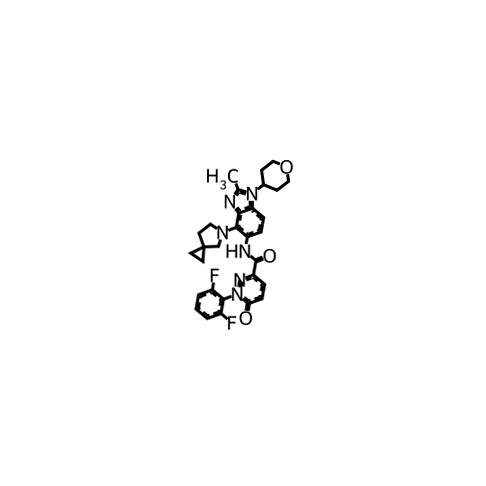 Cc1nc2c(N3CCC4(CC4)C3)c(NC(=O)c3ccc(=O)n(-c4c(F)cccc4F)n3)ccc2n1C1CCOCC1